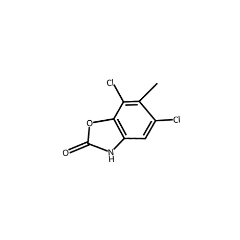 Cc1c(Cl)cc2[nH]c(=O)oc2c1Cl